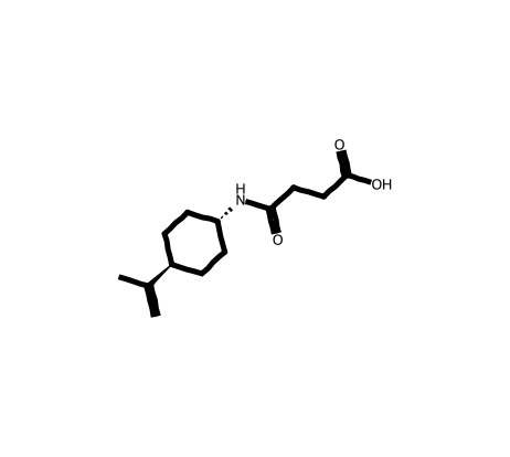 C=C(C)[C@H]1CC[C@H](NC(=O)CCC(=O)O)CC1